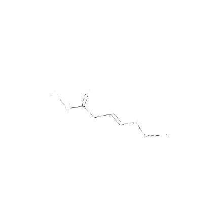 COCCC=CCC(=O)N[N+](=O)[O-]